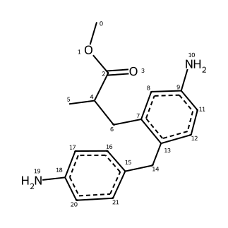 COC(=O)C(C)Cc1cc(N)ccc1Cc1ccc(N)cc1